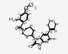 Cc1nc2[nH]c(=O)n(C3CCN(C(=O)c4ccc(OC(F)(F)F)cc4N)CC3)c2cc1C1=CCOCC1